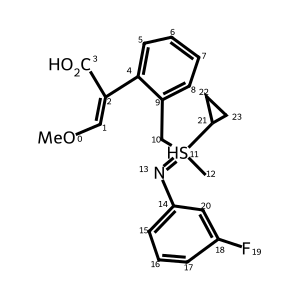 COC=C(C(=O)O)c1ccccc1C[SH](C)(=Nc1cccc(F)c1)C1CC1